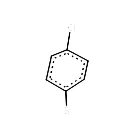 Clc1[c]cc(Br)c[c]1